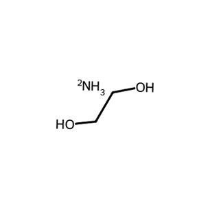 OCCO.[2NH3]